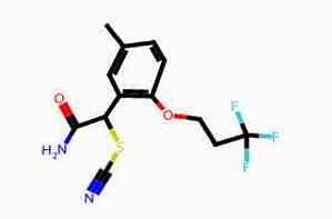 Cc1ccc(OCCC(F)(F)F)c(C(SC#N)C(N)=O)c1